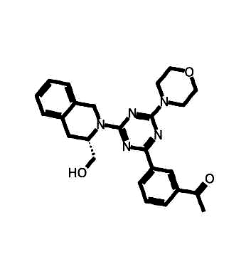 CC(=O)c1cccc(-c2nc(N3CCOCC3)nc(N3Cc4ccccc4C[C@H]3CO)n2)c1